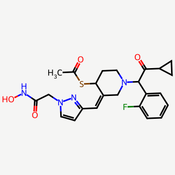 CC(=O)SC1CCN(C(C(=O)C2CC2)c2ccccc2F)C/C1=C/c1ccn(CC(=O)NO)n1